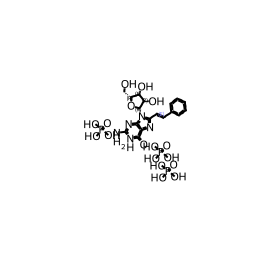 Nc1nc2c(nc(/C=C/c3ccccc3)n2[C@@H]2O[C@H](CO)[C@@H](O)[C@H]2O)c(=O)[nH]1.O=P(O)(O)O.O=P(O)(O)O.O=P(O)(O)O